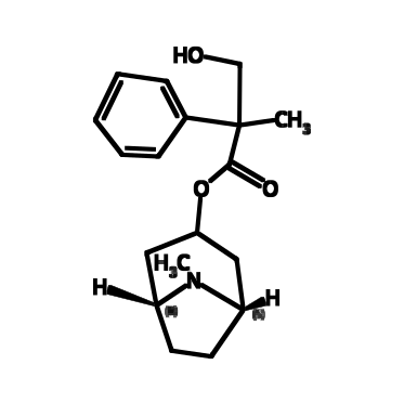 CN1[C@@H]2CC[C@H]1CC(OC(=O)C(C)(CO)c1ccccc1)C2